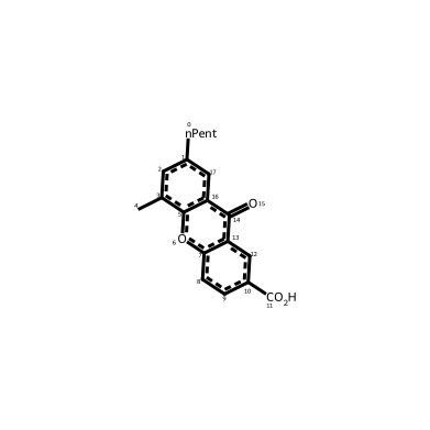 CCCCCc1cc(C)c2oc3ccc(C(=O)O)cc3c(=O)c2c1